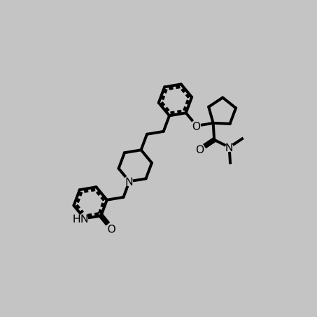 CN(C)C(=O)C1(Oc2ccccc2CCC2CCN(Cc3ccc[nH]c3=O)CC2)CCCC1